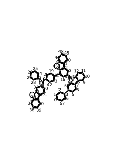 c1ccc(-c2ccc3c4ccccc4n(-c4cc(-c5ccc(N(c6ccccc6)c6ccc7c(c6)oc6ccccc67)cc5)c5oc6ccccc6c5c4)c3c2)cc1